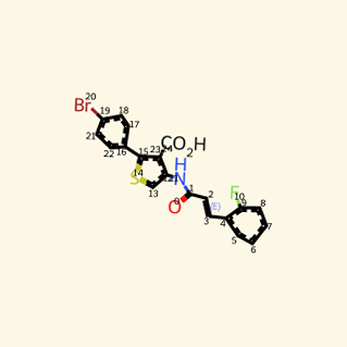 O=C(/C=C/c1ccccc1F)Nc1csc(-c2ccc(Br)cc2)c1C(=O)O